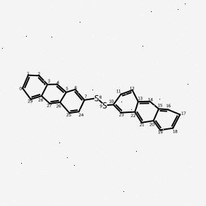 c1ccc2cc3cc(SSc4ccc5cc6ccccc6cc5c4)ccc3cc2c1